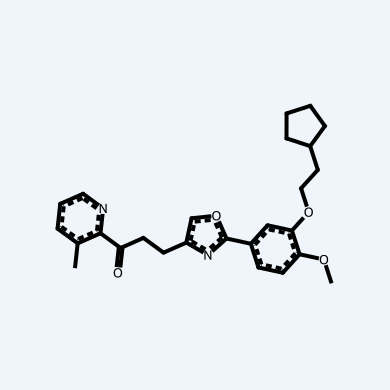 COc1ccc(-c2nc(CCC(=O)c3ncccc3C)co2)cc1OCCC1CCCC1